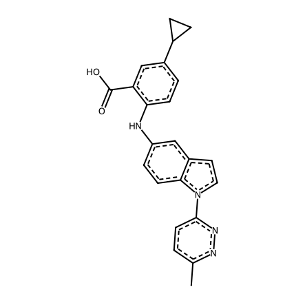 Cc1ccc(-n2ccc3cc(Nc4ccc(C5CC5)cc4C(=O)O)ccc32)nn1